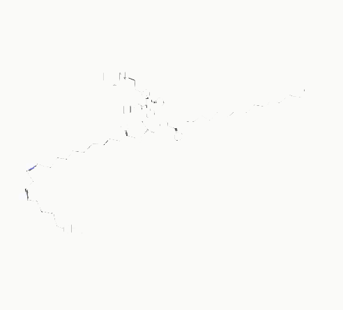 CCCCC/C=C\C/C=C\CCCCCCCCCC(=O)O[C@H](COC(=O)CCCCCCCCCCCCCCC)COP(=O)(O)OCCN